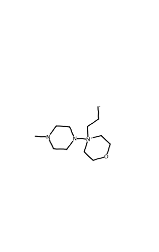 [CH2]CC[N+]1(N2CCN(C)CC2)CCOCC1